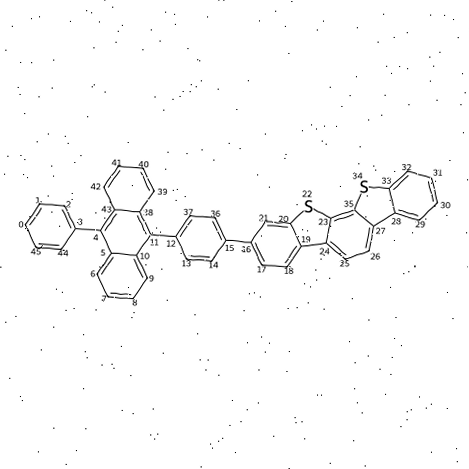 c1ccc(-c2c3ccccc3c(-c3ccc(-c4ccc5c(c4)sc4c5ccc5c6ccccc6sc54)cc3)c3ccccc23)cc1